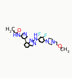 C=CC(=O)Nc1cncc(-c2cccc3cnc(Nc4ccc(N5CCN(CCOC)CC5)c(F)c4F)nc23)c1